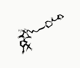 CC1(C)C(=O)N(c2ccc(C#N)c(C(F)(F)F)c2)C(=S)N1CCCCCCN1CCN(C(=O)Cc2cccs2)CC1